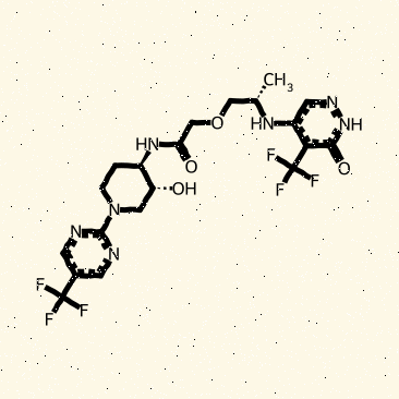 C[C@@H](COCC(=O)N[C@@H]1CCN(c2ncc(C(F)(F)F)cn2)C[C@H]1O)Nc1cn[nH]c(=O)c1C(F)(F)F